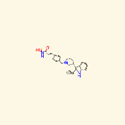 CC(C)(C)C1Nc2ccccc2C1C1CCCN(Cc2ccc(/C=C/C(=O)NO)cc2)C1